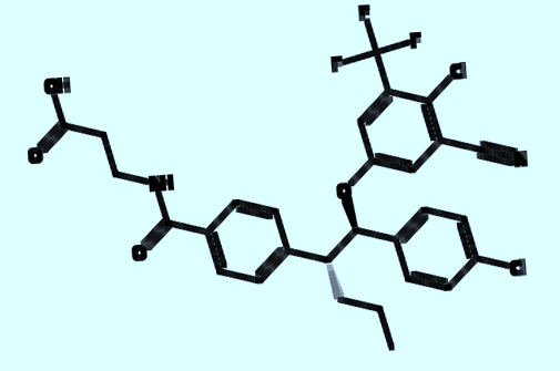 CCC[C@H](c1ccc(C(=O)NCCC(=O)O)cc1)[C@@H](Oc1cc(C#N)c(Cl)c(C(F)(F)F)c1)c1ccc(Cl)cc1